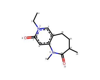 CCn1cc2c(cc1=O)N(C)C(=O)C(C)CC2